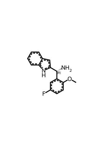 COc1ccc(F)cc1[C@@H](N)c1cc2ccccc2[nH]1